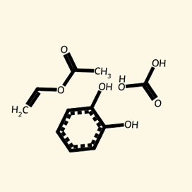 C=COC(C)=O.O=C(O)O.Oc1ccccc1O